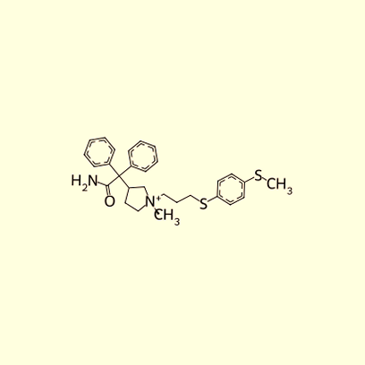 CSc1ccc(SCCC[N@+]2(C)CCC(C(C(N)=O)(c3ccccc3)c3ccccc3)C2)cc1